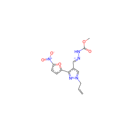 C=CCn1cc(/C=N/NC(=O)OC)c(-c2ccc([N+](=O)[O-])o2)n1